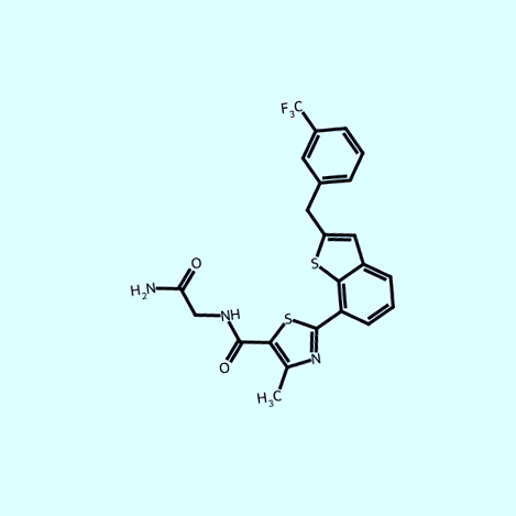 Cc1nc(-c2cccc3cc(Cc4cccc(C(F)(F)F)c4)sc23)sc1C(=O)NCC(N)=O